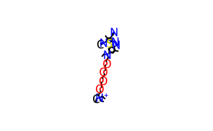 [C-]#[N+]c1sc(/N=N\c2ccc(N(CC)CCOCCOCCOCCOCC[N+]([CH-]C)(CC)CC)cc2C)c(C#N)c1C